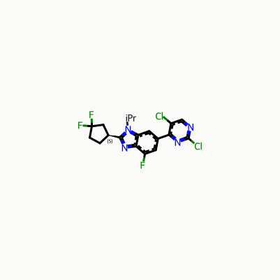 CC(C)n1c([C@H]2CCC(F)(F)C2)nc2c(F)cc(-c3nc(Cl)ncc3Cl)cc21